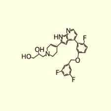 OCC(O)CN1CC=C(c2cc3c(-c4cc(OCc5cc(F)cc(F)c5)ccc4F)ccnc3[nH]2)CC1